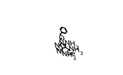 NC(=[Se])c1c(N)n(COCc2ccccc2)c2ncnc(N)c12